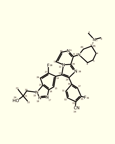 CN(C)[C@@H]1CCCN(c2nccn3c(-c4cc5nnn(CC(C)(C)O)c5cc4F)c(-c4ccc(C#N)c(F)c4)nc23)C1